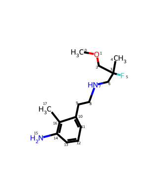 COCC(C)(F)CNCCc1cccc(N)c1C